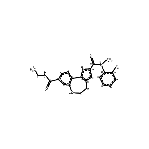 CCNC(=O)c1ccc2c(c1)OCCc1cc(C(=O)N(C)c3ccccc3Cl)sc1-2